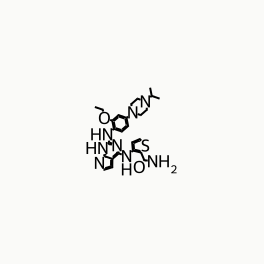 CCOc1cc(N2CCN(C(C)C)CC2)ccc1Nc1nc(Nc2ccsc2C(N)=O)c2ccnc-2[nH]1